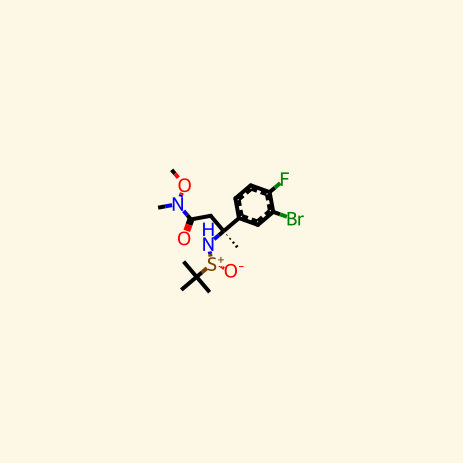 CON(C)C(=O)C[C@](C)(N[S@+]([O-])C(C)(C)C)c1ccc(F)c(Br)c1